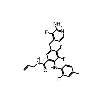 C=CCNC(=O)c1cc(Cc2ccnc(N)c2F)c(F)c(F)c1Nc1ccc(I)cc1F